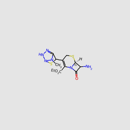 CCOC(=O)C1=C(C2SN3NN=C2N3C)CS[C@H]2C(N)C(=O)N12